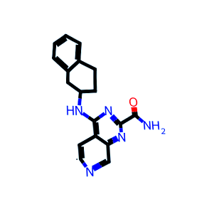 NC(=O)c1nc(NC2CCc3ccccc3C2)c2c[c]ncc2n1